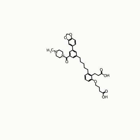 CN1CCN(C(=O)c2cc(CCCCCc3cccc(OCCCC(=O)O)c3CCC(=O)O)cc(-c3ccc4c(c3)OCO4)c2)CC1